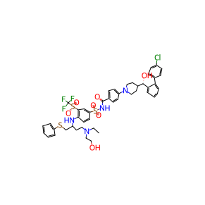 CCN(CCO)CCC(CSc1ccccc1)Nc1ccc(S(=O)(=O)NC(=O)c2ccc(N3CCC([C@H](O)c4ccccc4-c4ccc(Cl)cc4)CC3)cc2)cc1S(=O)(=O)C(F)(F)F